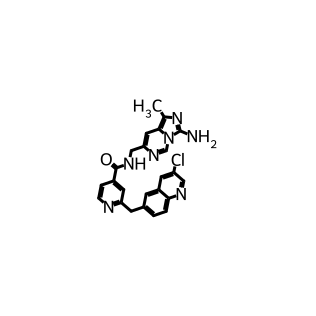 Cc1nc(N)n2cnc(CNC(=O)c3ccnc(Cc4ccc5ncc(Cl)cc5c4)c3)cc12